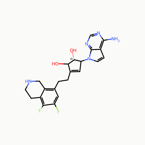 Nc1ncnc2c1ccn2C1C=C(CCc2cc(F)c(F)c3c2CNCC3)C(O)[C@@H]1O